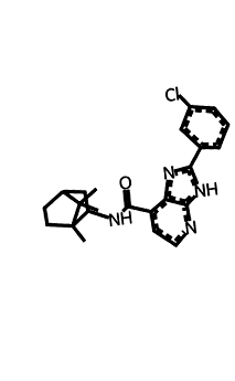 CC1(C)C2CCC1(C)C(NC(=O)c1ccnc3[nH]c(-c4cccc(Cl)c4)nc13)C2